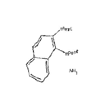 CCCCCc1ccc2ccccc2c1CCCCC.N